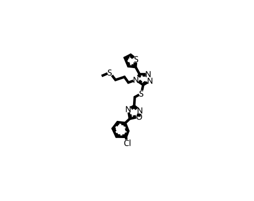 CSCCCn1c(SCc2noc(-c3cccc(Cl)c3)n2)nnc1-c1cccs1